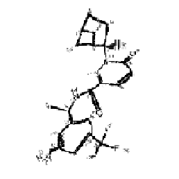 C[C@@H](NC(=O)c1ccc(=O)n([C@H]2CCC3CC2C3)n1)c1cc(N)cc(C(F)(F)F)c1